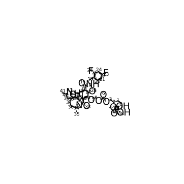 CC[C@H](COC(=O)OCOc1c2n(cc(C(=O)NCc3ccc(F)cc3F)c1=O)[C@@H]1CN(C2=O)[C@@H](C)CC[C@]12CC(C)=NO2)OP(=O)(O)O